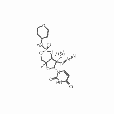 C[C@@]1(N=[N+]=[N-])[C@@H]2OP(=O)(NC3CCOCC3)OC[C@H]2O[C@H]1n1ccc(=O)[nH]c1=O